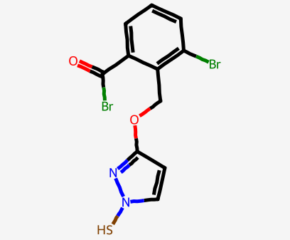 O=C(Br)c1cccc(Br)c1COc1ccn(S)n1